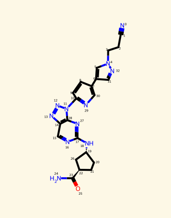 N#CCCn1cc(-c2ccc(-n3nnc4cnc(N[C@@H]5CC[C@@H](C(N)=O)C5)nc43)nc2)cn1